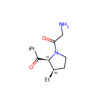 CC[C@@H]1CCN(C(=O)CN)[C@@H]1C(=O)C(C)C